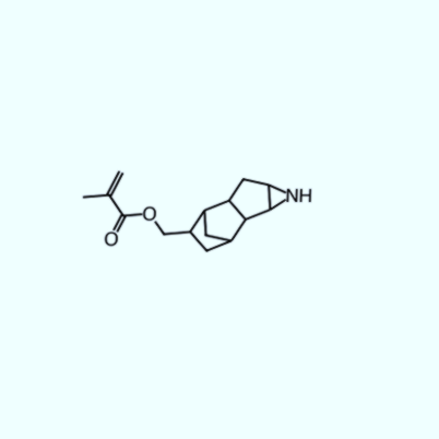 C=C(C)C(=O)OCC1CC2CC1C1CC3NC3C21